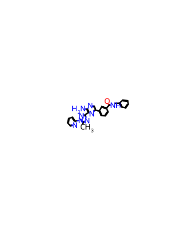 Cc1nc(-c2nc(-c3cccc(C(=O)NCc4ccccc4)c3)cnc2N)nn1-c1ccccn1